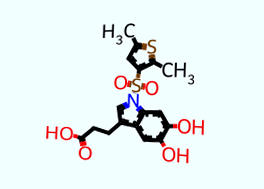 Cc1cc(S(=O)(=O)n2cc(CCC(=O)O)c3cc(O)c(O)cc32)c(C)s1